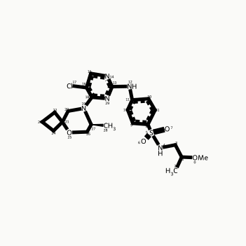 COC(C)CNS(=O)(=O)c1ccc(Nc2ncc(Cl)c(N3CC4(CCC4)OC[C@@H]3C)n2)cc1